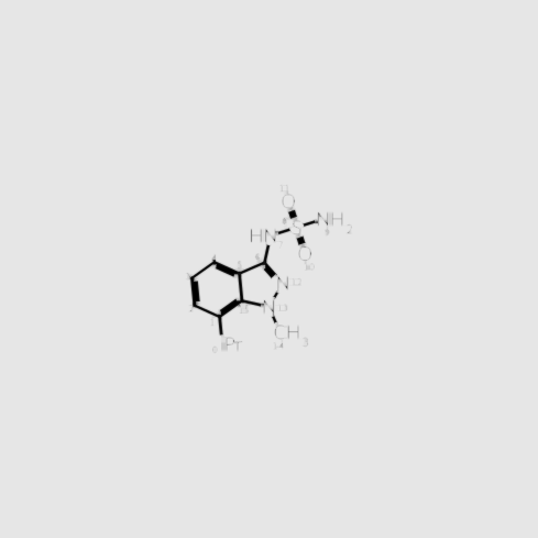 CC(C)c1cccc2c(NS(N)(=O)=O)nn(C)c12